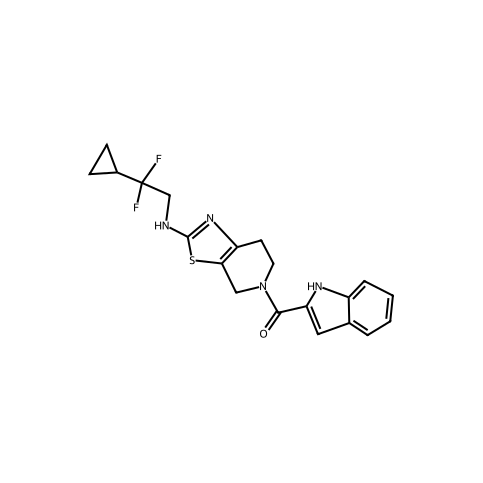 O=C(c1cc2ccccc2[nH]1)N1CCc2nc(NCC(F)(F)C3CC3)sc2C1